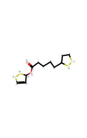 O=C(CCCCC1CCSS1)OC1C=CSS1